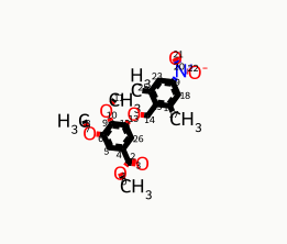 COC(=O)c1cc(OC)c(OC)c(OCc2c(C)cc([N+](=O)[O-])cc2C)c1